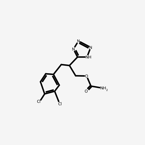 NC(=O)OCC(Cc1ccc(Cl)c(Cl)c1)c1nnn[nH]1